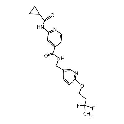 CC(F)(F)CCOc1ccc(CNC(=O)c2ccnc(NC(=O)C3CC3)c2)cn1